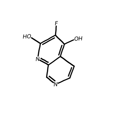 Oc1nc2cnccc2c(O)c1F